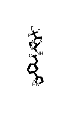 O=C(Cc1cccc(-c2cc[nH]n2)c1)Nc1ncn2c(C(F)(F)F)csc12